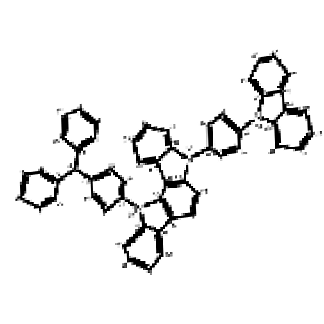 c1ccc(C(c2ccccc2)c2ccc(-n3c4ccccc4c4ccc5c(c6ccccc6n5-c5ccc(-n6c7ccccc7c7ccccc76)cc5)c43)cc2)cc1